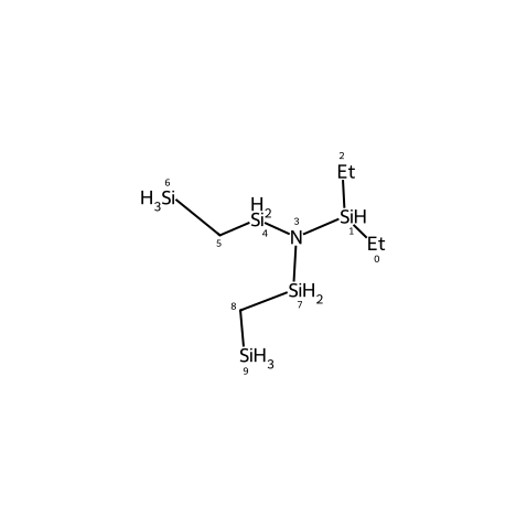 CC[SiH](CC)N([SiH2]C[SiH3])[SiH2]C[SiH3]